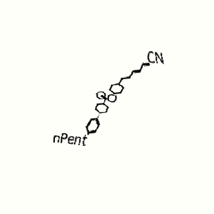 CCCCCc1ccc([C@H]2CC[C@H](C(=O)OC3CCC(CC/C=C/C=CC#N)CC3)CC2)cc1